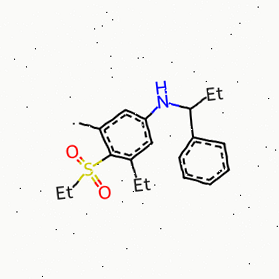 [CH2]c1cc(NC(CC)c2ccccc2)cc(CC)c1S(=O)(=O)CC